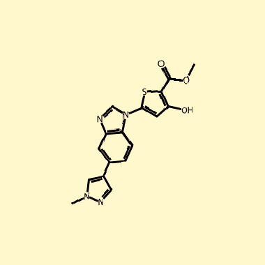 COC(=O)c1sc(-n2cnc3cc(-c4cnn(C)c4)ccc32)cc1O